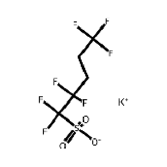 O=S(=O)([O-])C(F)(F)C(F)(F)CCC(F)(F)F.[K+]